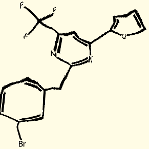 FC(F)(F)c1cc(-c2ccco2)nc(Cc2cccc(Br)c2)n1